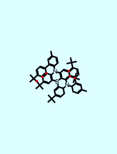 CC1=CCC(N2c3c(C(C)(C)C)ccc4c3B(C3=CC(C(C)(C)C)=CCC32)c2cc(C(C)(C)C)ccc2N4c2ccc(C)cc2-c2ccc(C(C)(C)C)cc2)C(c2ccc(C(C)(C)C)cc2)=C1